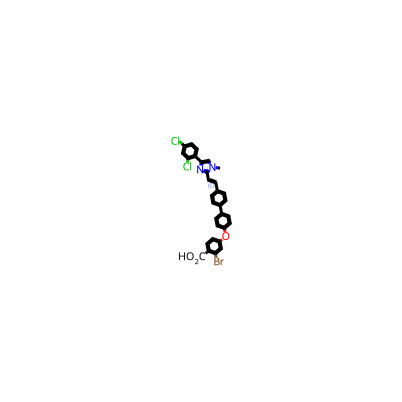 Cn1cc(-c2ccc(Cl)cc2Cl)nc1/C=C/c1ccc(-c2ccc(Oc3ccc(C(=O)O)c(Br)c3)cc2)cc1